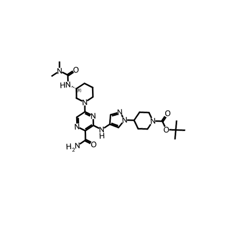 CN(C)C(=O)N[C@@H]1CCCN(c2cnc(C(N)=O)c(Nc3cnn(C4CCN(C(=O)OC(C)(C)C)CC4)c3)n2)C1